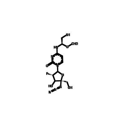 [N-]=[N+]=N[C@]1(CO)OC(n2ccc(N[C@@H](CS)OC=O)nc2=O)[C@@H](F)C1O